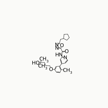 Cc1ccc(OCCCC(C)(C)O)cc1-c1ccnc(NC(=O)c2nnc(CC3CCCC3)o2)c1